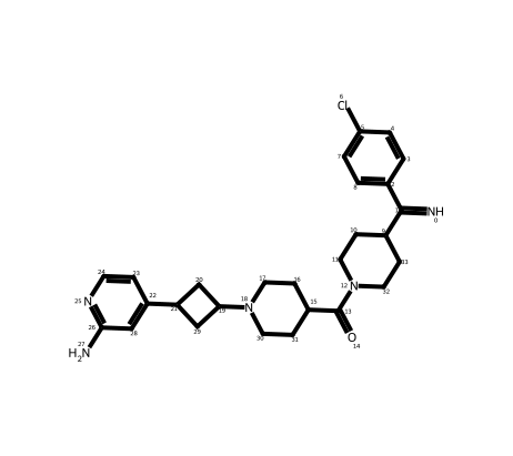 N=C(c1ccc(Cl)cc1)C1CCN(C(=O)C2CCN(C3CC(c4ccnc(N)c4)C3)CC2)CC1